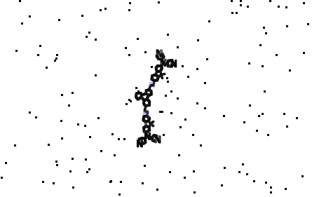 CC1(C)c2cc(/C=C/c3ccc4c5ccc(/C=C/c6ccc7c(c6)C(C)(C)c6cc(N(c8ccncc8)c8ccncc8)ccc6-7)cc5c5ccccc5c4c3)ccc2-c2ccc(N(c3ccncc3)c3ccncc3)cc21